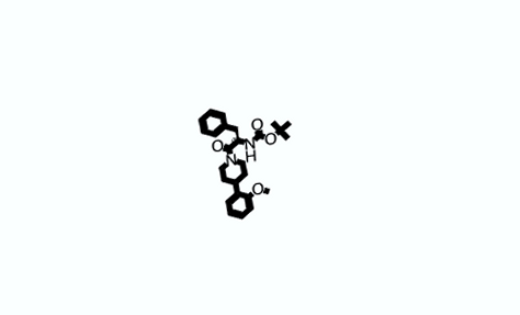 COc1ccccc1C1CCN(C(=O)[C@@H](Cc2ccccc2)NC(=O)OC(C)(C)C)CC1